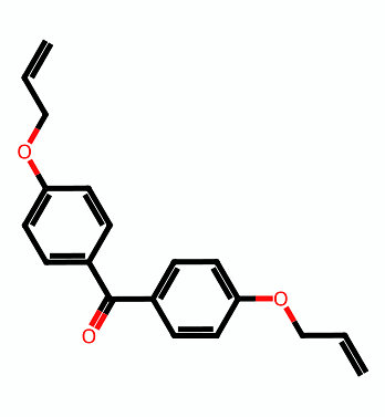 C=CCOc1ccc(C(=O)c2ccc(OCC=C)cc2)cc1